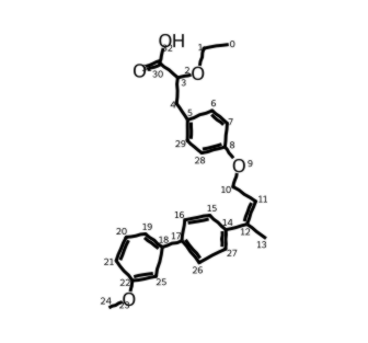 CCOC(Cc1ccc(OC/C=C(/C)c2ccc(-c3cccc(OC)c3)cc2)cc1)C(=O)O